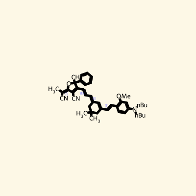 CCCCN(CCCC)c1ccc(/C=C/C2=CC(=C/C=C/C3=C(C#N)C(=C(/C)C#N)/OC3(C)c3ccccc3)/CC(C)(C)C2)c(OC)c1